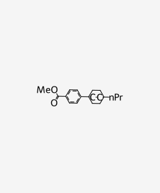 CCCC12CCC(c3ccc(C(=O)OC)cc3)(CC1)CC2